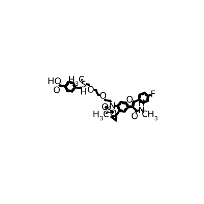 CNC(=O)c1c(-c2ccc(F)cc2)oc2cc(N(CCOCCOC[SH](C)Cc3ccc(C(=O)O)cc3)S(C)(=O)=O)c(C3CC3)cc12